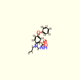 CCCN1CNS(=O)(=O)c2cc(Oc3ccccc3)ccc21